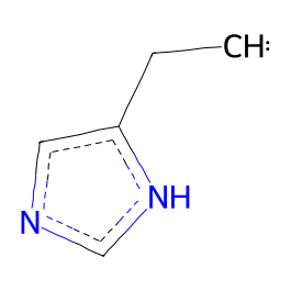 [CH]Cc1cnc[nH]1